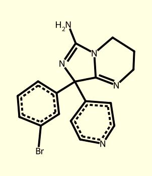 NC1=NC(c2ccncc2)(c2cccc(Br)c2)C2=NCCCN12